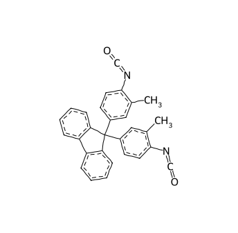 Cc1cc(C2(c3ccc(N=C=O)c(C)c3)c3ccccc3-c3ccccc32)ccc1N=C=O